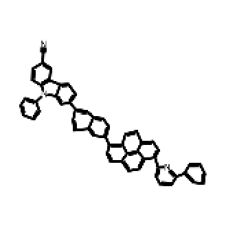 N#Cc1ccc2c(c1)c1ccc(-c3ccc4cc(-c5ccc6ccc7c(-c8cccc(-c9ccccc9)n8)ccc8ccc5c6c87)ccc4c3)cc1n2-c1ccccc1